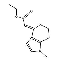 CCOC(=O)C=C1CCCc2c1ccn2C